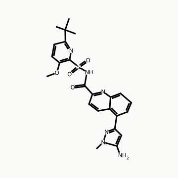 COc1ccc(C(C)(C)C)nc1S(=O)(=O)NC(=O)c1ccc2c(-c3cc(N)n(C)n3)cccc2n1